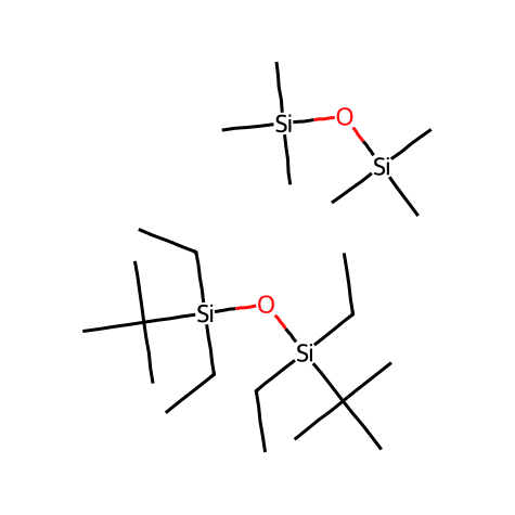 CC[Si](CC)(O[Si](CC)(CC)C(C)(C)C)C(C)(C)C.C[Si](C)(C)O[Si](C)(C)C